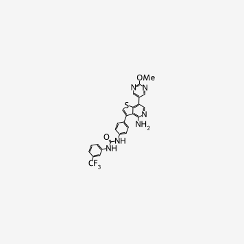 COc1ncc(-c2cnc(N)c3c(-c4ccc(NC(=O)Nc5cccc(C(F)(F)F)c5)cc4)csc23)cn1